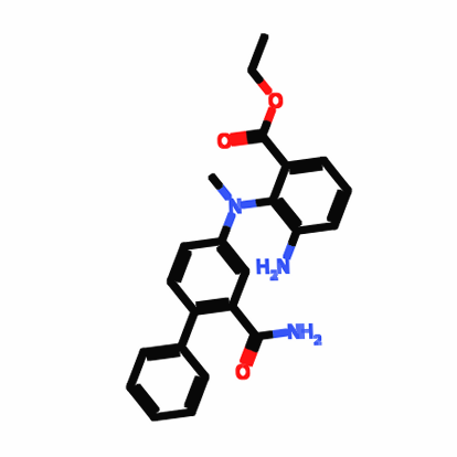 CCOC(=O)c1cccc(N)c1N(C)c1ccc(-c2ccccc2)c(C(N)=O)c1